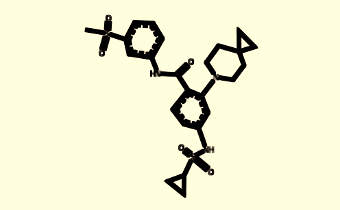 CS(=O)(=O)c1cccc(NC(=O)c2ccc(NS(=O)(=O)C3CC3)cc2N2CCC3(CC2)CC3)c1